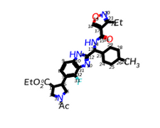 CCOC(=O)C1CN(C(C)=O)CC1c1ccc2[nH]c(C(NC(=O)c3conc3CC)C3CCC(C)CC3)nc2c1F